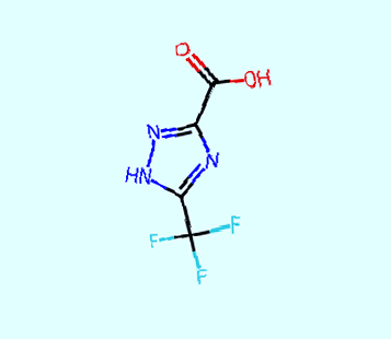 O=C(O)c1n[nH]c(C(F)(F)F)n1